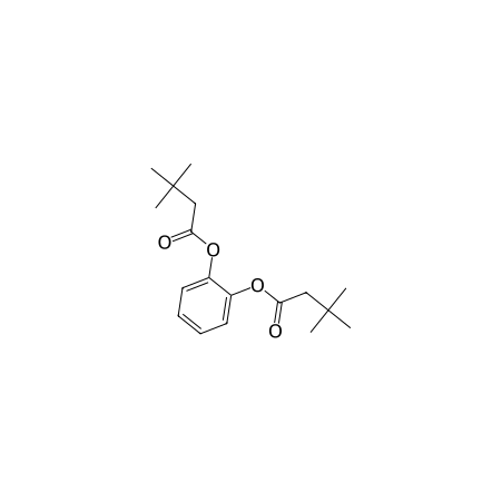 CC(C)(C)CC(=O)Oc1ccccc1OC(=O)CC(C)(C)C